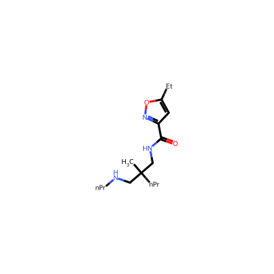 CCCNCC(C)(CCC)CNC(=O)c1cc(CC)on1